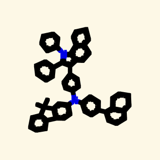 CC1(C)c2ccccc2-c2ccc(N(c3ccc(-c4cccc5ccccc45)cc3)c3ccc(-c4c(-c5ccccc5)n(-c5ccccc5)c5c4ccc4ccccc45)cc3)cc21